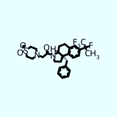 CC(F)(c1ccc2c(c1)CC[C@@H]1N(C(=O)CN3CCS(=O)(=O)CC3)CC[C@]21Cc1ccccc1)C(F)(F)F